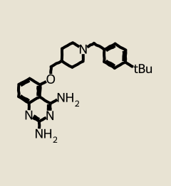 CC(C)(C)c1ccc(CN2CCC(COc3cccc4nc(N)nc(N)c34)CC2)cc1